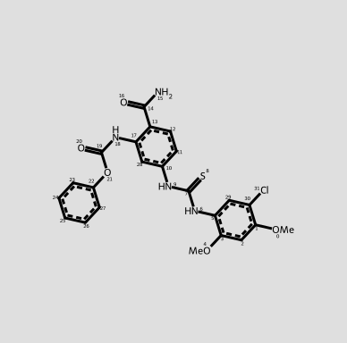 COc1cc(OC)c(NC(=S)Nc2ccc(C(N)=O)c(NC(=O)Oc3ccccc3)c2)cc1Cl